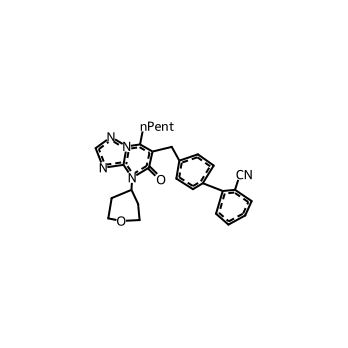 CCCCCc1c(Cc2ccc(-c3ccccc3C#N)cc2)c(=O)n(C2CCOCC2)c2ncnn12